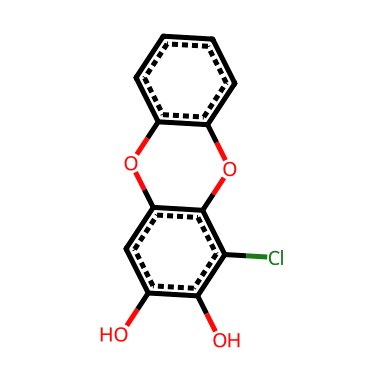 Oc1cc2c(c(Cl)c1O)Oc1ccccc1O2